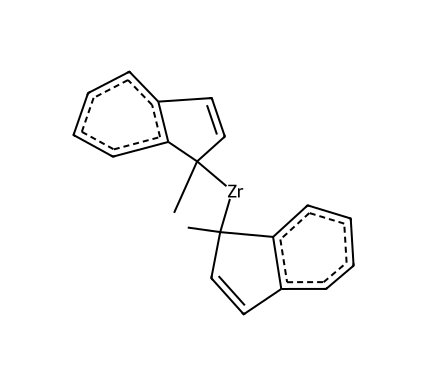 C[C]1([Zr][C]2(C)C=Cc3ccccc32)C=Cc2ccccc21